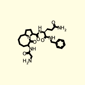 NCC(=O)NC1CCCCC2CCC(C(=O)N[C@@H](CCC(N)=O)C(=O)NCc3ccccc3)N2C1=O